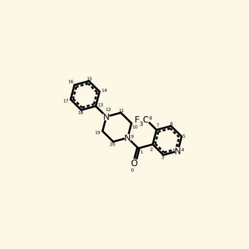 O=C(c1cnccc1C(F)(F)F)N1CCN(c2ccccc2)CC1